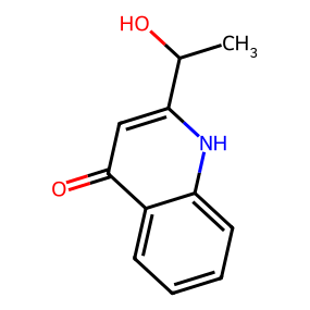 CC(O)c1cc(=O)c2ccccc2[nH]1